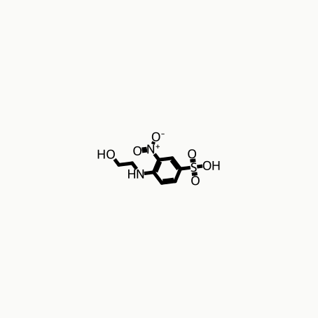 O=[N+]([O-])c1cc(S(=O)(=O)O)ccc1NCCO